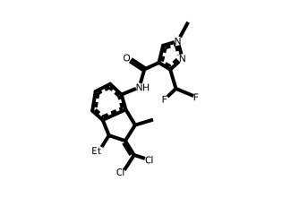 CCC1C(=C(Cl)Cl)C(C)c2c(NC(=O)c3cn(C)nc3C(F)F)cccc21